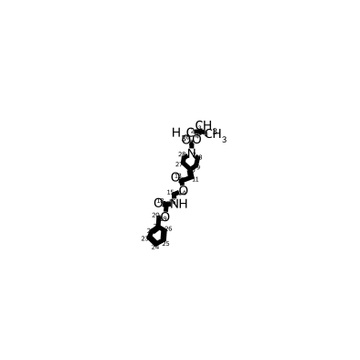 CC(C)(C)OC(=O)N1CCC(=CC(=O)OCNC(=O)OCc2ccccc2)CC1